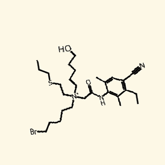 CCCSCC[N+](CCCCCO)(CCCCCBr)CC(=O)Nc1c(C)cc(C#N)c(CC)c1C